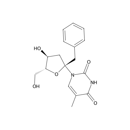 Cc1cn([C@@]2(Cc3ccccc3)C[C@H](O)[C@@H](CO)O2)c(=O)[nH]c1=O